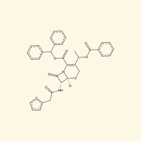 CC(OC(=O)c1ccccc1)C1=C(C(=O)OC(c2ccccc2)c2ccccc2)N2C(=O)[C@@H](NC(=O)Cc3cccs3)[C@@H]2SC1